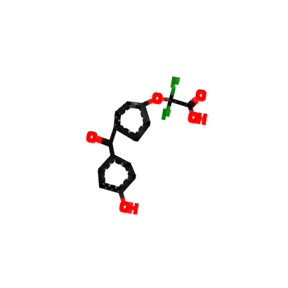 O=C(c1ccc(O)cc1)c1ccc(OC(F)(F)C(=O)O)cc1